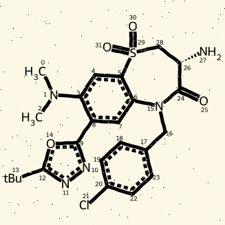 CN(C)c1cc2c(cc1-c1nnc(C(C)(C)C)o1)N(Cc1ccc(Cl)cc1)C(=O)[C@@H](N)CS2(=O)=O